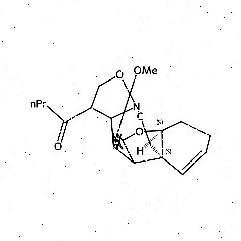 CCCC(=O)C1CON2CC[C@@]34C=CCC[C@@H]3Oc3c(OC)ccc(c34)C12